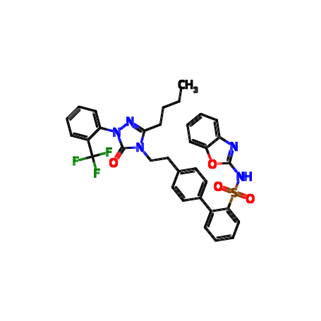 CCCCc1nn(-c2ccccc2C(F)(F)F)c(=O)n1CCc1ccc(-c2ccccc2S(=O)(=O)Nc2nc3ccccc3o2)cc1